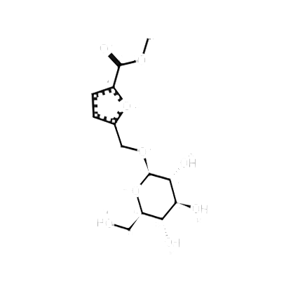 COC(=O)c1ccc(CO[C@@H]2O[C@H](CO)[C@@H](O)[C@H](O)[C@H]2O)o1